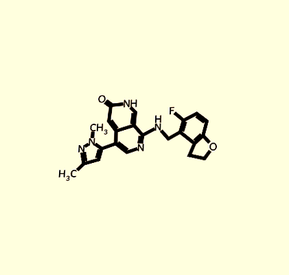 Cc1cc(-c2cnc(NCc3c(F)ccc4c3CCO4)c3c[nH]c(=O)cc23)n(C)n1